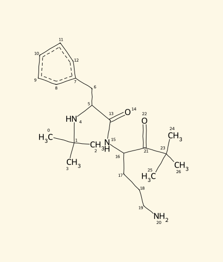 CC(C)(C)NC(Cc1ccccc1)C(=O)NC(CCCN)C(=O)C(C)(C)C